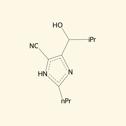 CCCc1nc(C(O)C(C)C)c(C#N)[nH]1